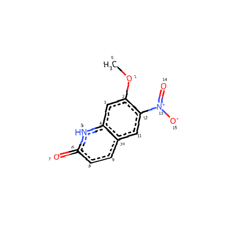 COc1cc2[nH]c(=O)ccc2cc1[N+](=O)[O-]